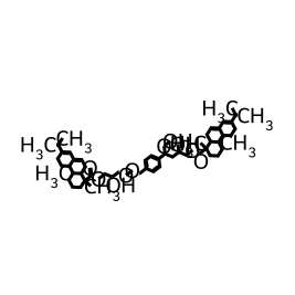 CC(C)C1=CC2=CCC3C(C)(C(=O)OCC(O)COOCc4ccc(C(CC(O)COC(=O)C5(C)CCCC6(C)C7CCC(C(C)C)=CC7=CCC56)OO)cc4)CCCC3(C)C2CC1